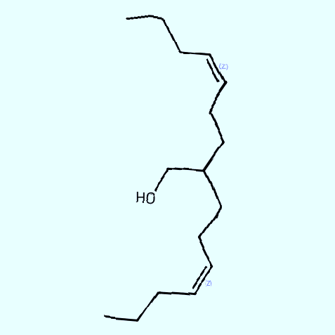 CCC/C=C\CCC(CO)CC/C=C\CCC